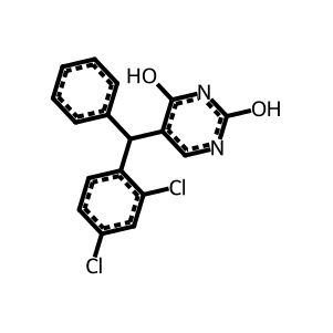 Oc1ncc(C(c2ccccc2)c2ccc(Cl)cc2Cl)c(O)n1